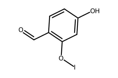 O=Cc1ccc(O)cc1OI